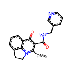 COc1c(C(=O)NCc2cccnc2)c(=O)c2cccc3c2n1CC3